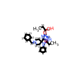 CCC(=O)N(c1ccccc1)C1(c2nnn[nH]2)CCN(Cc2ccccc2)CC1.CCC(=O)O